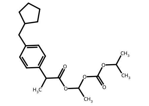 CC(C)OC(=O)OC(C)OC(=O)C(C)c1ccc(CC2CCCC2)cc1